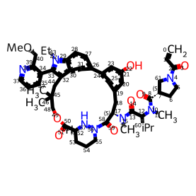 C=CC(=O)N1CC[C@H](C(=O)N(C)C(C(=O)N(C)[C@H]2Cc3cc(O)cc(c3)-c3ccc4c(c3)c(c(-c3cccnc3COC)n4CC)CC(C)(C)COC(=O)[C@@H]3CCCN(N3)C2=O)C(C)C)C1